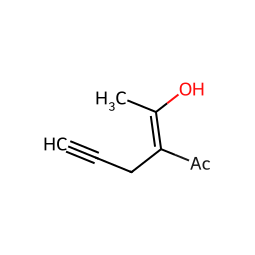 C#CC/C(C(C)=O)=C(\C)O